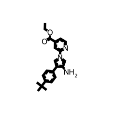 CCOC(=O)c1ccnc(-n2cc(N)c(-c3ccc(C(C)(C)C)cc3)c2)c1